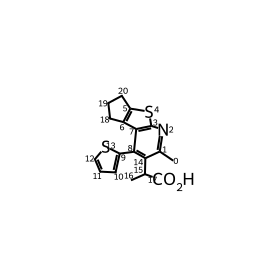 Cc1nc2sc3c(c2c(-c2cccs2)c1C(C)C(=O)O)CCC3